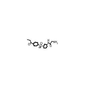 CCC(=O)c1ccc(S(=O)(=O)c2cccc(NC(=O)CN)c2)cc1